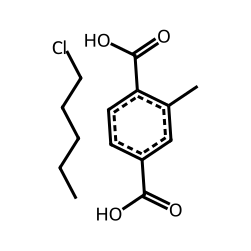 CCCCCCl.Cc1cc(C(=O)O)ccc1C(=O)O